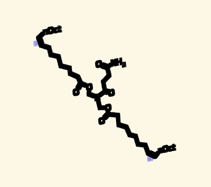 CCCCCCCC/C=C\CCCCCCCC(=O)OCN(COC(=O)CCCCCCC/C=C\CCCCCCCC)C(=O)CCC(N)=O